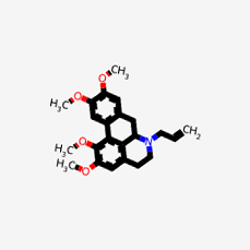 C=CCN1CCc2cc(OC)c(OC)c3c2C1Cc1cc(OC)c(OC)cc1-3